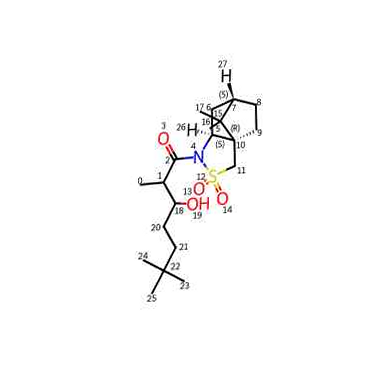 CC(C(=O)N1[C@H]2C[C@@H]3CC[C@@]2(CS1(=O)=O)C3(C)C)C(O)CCC(C)(C)C